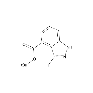 CC(C)(C)OC(=O)c1cccc2[nH]nc(I)c12